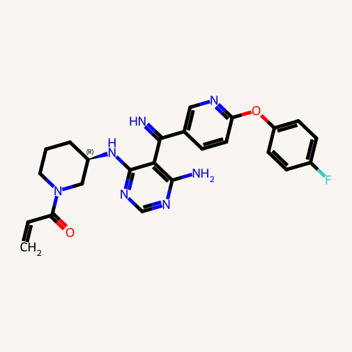 C=CC(=O)N1CCC[C@@H](Nc2ncnc(N)c2C(=N)c2ccc(Oc3ccc(F)cc3)nc2)C1